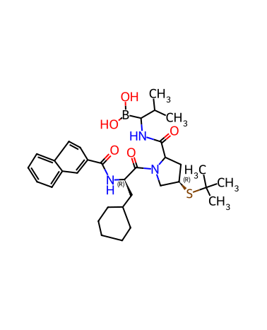 CC(C)C(NC(=O)C1C[C@@H](SC(C)(C)C)CN1C(=O)[C@@H](CC1CCCCC1)NC(=O)c1ccc2ccccc2c1)B(O)O